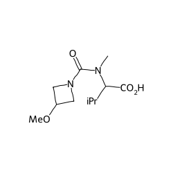 COC1CN(C(=O)N(C)C(C(=O)O)C(C)C)C1